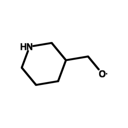 [O]CC1CCCNC1